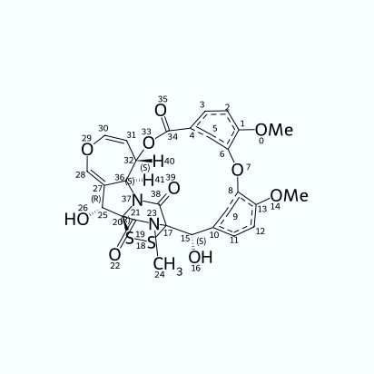 COc1ccc2cc1Oc1cc(ccc1OC)[C@H](O)C13SS[C@@]4(C(=O)N1C)[C@H](O)C1=COC=C[C@H](OC2=O)[C@H]1N4C3=O